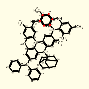 Cc1cc(C)c2c(c1)Nc1ccccc1B2c1cc2c(cc1C)N(C13CC4CC(CC(C4)C1)C3)c1cc(N(c3ccccc3)c3ccccc3)cc3c1B2c1cc(Bc2ccccc2C)c(C)cc1O3